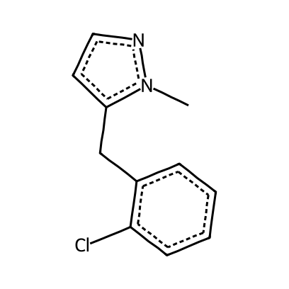 Cn1nccc1Cc1ccccc1Cl